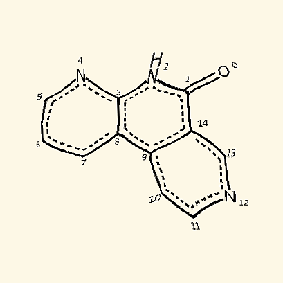 O=c1[nH]c2ncccc2c2ccncc12